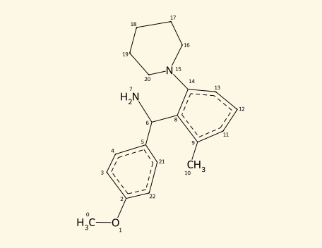 COc1ccc(C(N)c2c(C)cccc2N2CCCCC2)cc1